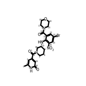 Cc1cc(C(=O)N2CCC[C@@H](Nc3c(C(=O)N4CCOCC4)cc(Br)cc3[N+](=O)[O-])C2)cc(=O)[nH]1